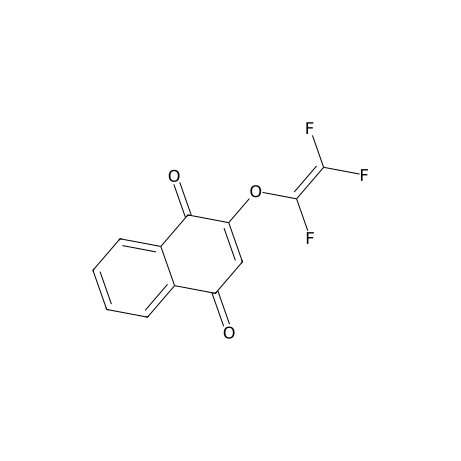 O=C1C=C(OC(F)=C(F)F)C(=O)c2ccccc21